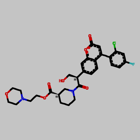 O=C(OCCN1CCOCC1)[C@H]1CCCN(C(=O)[C@@H](CO)c2ccc3c(-c4ccc(F)cc4Cl)cc(=O)oc3c2)C1